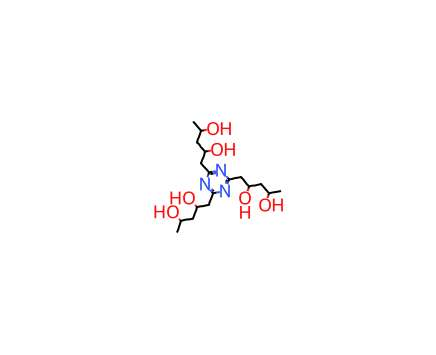 CC(O)CC(O)Cc1nc(CC(O)CC(C)O)nc(CC(O)CC(C)O)n1